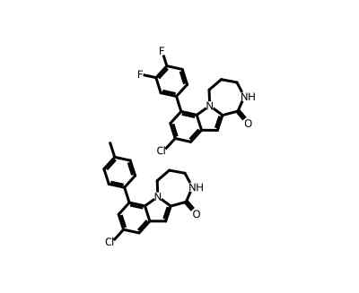 Cc1ccc(-c2cc(Cl)cc3cc4n(c23)CCCNC4=O)cc1.O=C1NCCCn2c1cc1cc(Cl)cc(-c3ccc(F)c(F)c3)c12